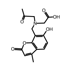 CC(=O)CN(CC(=O)O)Cc1c(O)ccc2c(C)cc(=O)oc12